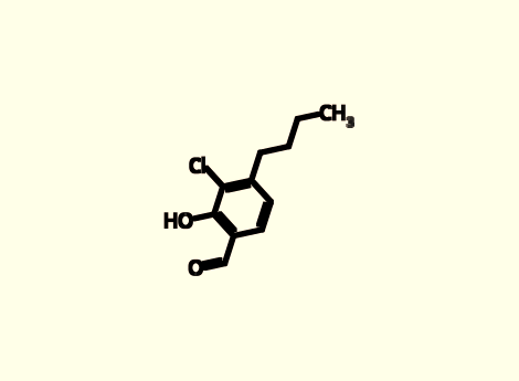 CCCCc1ccc(C=O)c(O)c1Cl